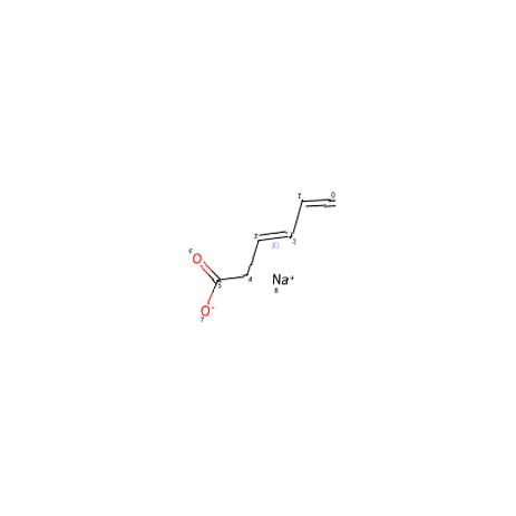 C=C/C=C/CC(=O)[O-].[Na+]